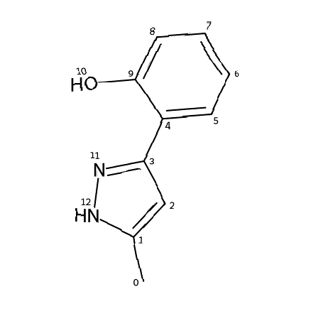 Cc1cc(-c2ccccc2O)n[nH]1